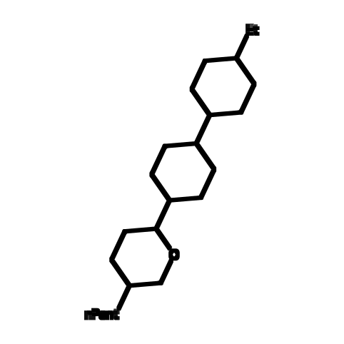 CCCCCC1CCC(C2CCC(C3CCC(CC)CC3)CC2)OC1